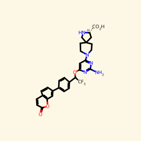 Nc1nc(OC(c2ccc(-c3ccc4ccc(=O)oc4c3)cc2)C(F)(F)F)cc(N2CCC3(CC2)CN[C@H](C(=O)O)C3)n1